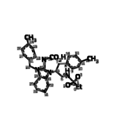 CCS(=O)(=O)NCC(Cc1ccc(C)cc1)n1c(=NC(=O)O)n(Cc2ccc(C)cc2)c2ccccc21